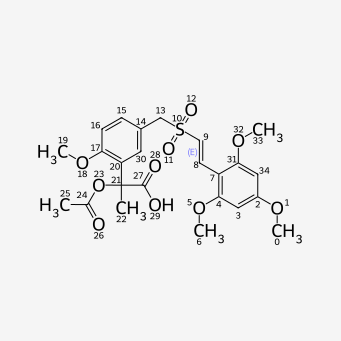 COc1cc(OC)c(/C=C/S(=O)(=O)Cc2ccc(OC)c(C(C)(OC(C)=O)C(=O)O)c2)c(OC)c1